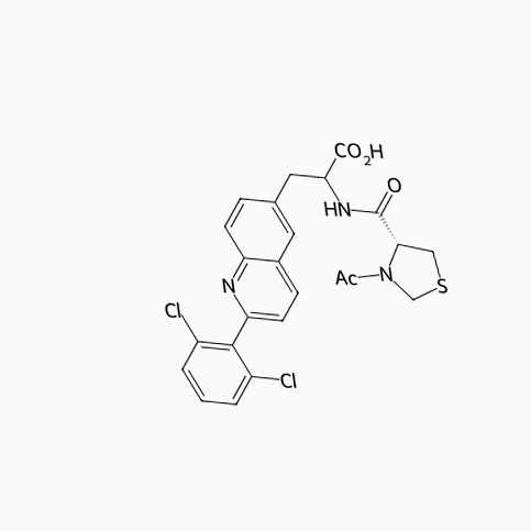 CC(=O)N1CSC[C@H]1C(=O)NC(Cc1ccc2nc(-c3c(Cl)cccc3Cl)ccc2c1)C(=O)O